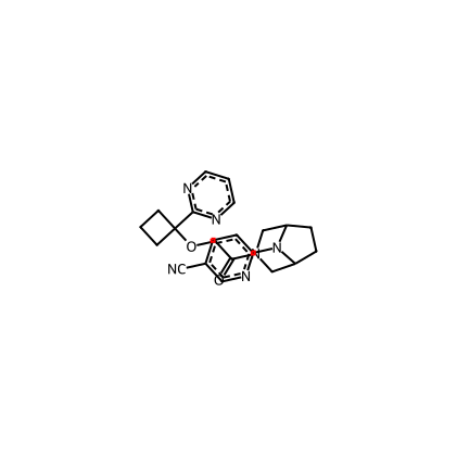 N#Cc1ccc(N2C3CCC2CN(C(=O)COC2(c4ncccn4)CCC2)C3)nc1